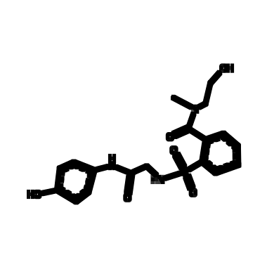 CN(CCO)C(=O)c1ccccc1S(=O)(=O)NCC(=O)Nc1ccc(O)cc1